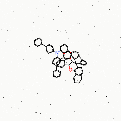 C1=Cc2c(ccc3c2OC2c4ccccc4C=CC2C32c3ccccc3-c3ccc(-c4cccc(N(c5ccc(-c6ccccc6)cc5)c5ccc(-c6ccccc6)cc5-c5ccccc5)c4)cc32)CC1